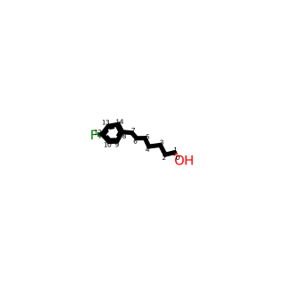 OCCCCCCCc1ccc(F)cc1